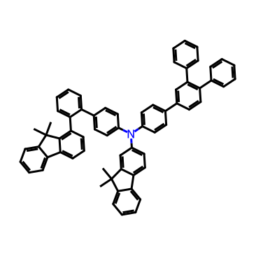 CC1(C)c2ccccc2-c2ccc(N(c3ccc(-c4ccc(-c5ccccc5)c(-c5ccccc5)c4)cc3)c3ccc(-c4ccccc4-c4cccc5c4C(C)(C)c4ccccc4-5)cc3)cc21